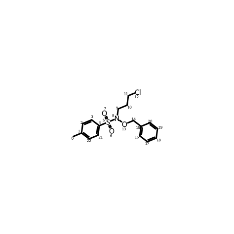 Cc1ccc(S(=O)(=O)N(CCCCl)OCc2ccccc2)cc1